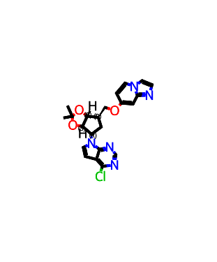 CC1(C)O[C@@H]2[C@@H](COc3ccn4ccnc4c3)C[C@@H](n3ccc4c(Cl)ncnc43)[C@@H]2O1